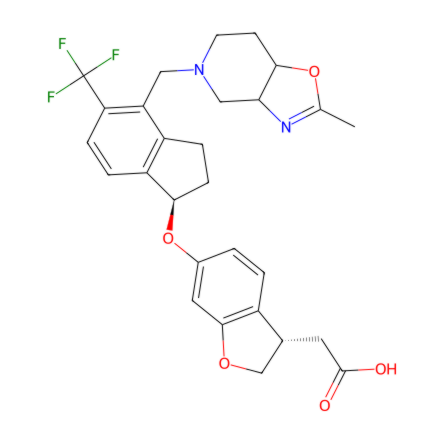 CC1=NC2CN(Cc3c(C(F)(F)F)ccc4c3CC[C@H]4Oc3ccc4c(c3)OC[C@H]4CC(=O)O)CCC2O1